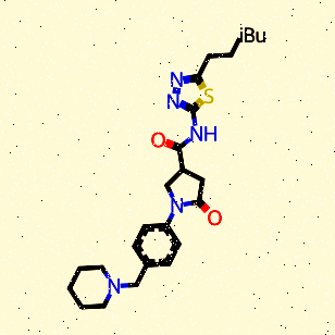 CCC(C)CCc1nnc(NC(=O)C2CC(=O)N(c3ccc(CN4CCCCC4)cc3)C2)s1